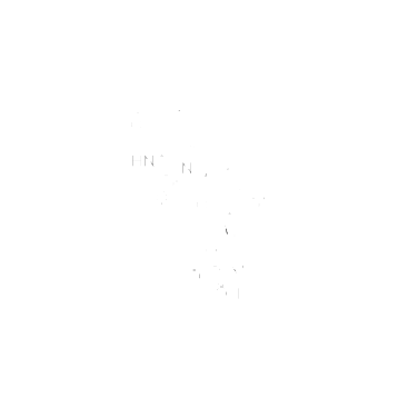 Cc1cn([C@@H]2C[C@H](O)[C@@H](COP(=O)(O)O)O2)c(=O)[nH]c1=O